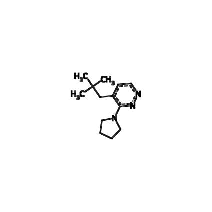 CC(C)(C)Cc1ccnnc1N1CCCC1